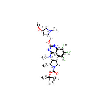 CO[C@@H]1C[C@@H](COc2nc(N(C)[C@@H]3CCN(C(=O)OC(C)(C)C)[C@@H]3C)c3cc(Cl)c(Br)c(F)c3n2)N(C)C1